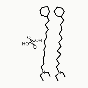 CCN(CC)CCCCCCCCCCCCC1CCCCC1.CCN(CC)CCCCCCCCCCCCC1CCCCC1.O=S(=O)(O)O